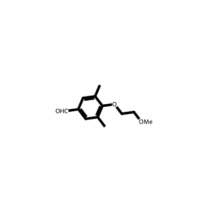 COCCOc1c(C)cc(C=O)cc1C